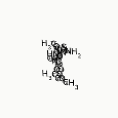 CCOC(=O)OC(C)OC(=O)C1=CN2C(=O)C(NC(=O)C(=NOC)c3csc(N)n3)[C@H]2SC1